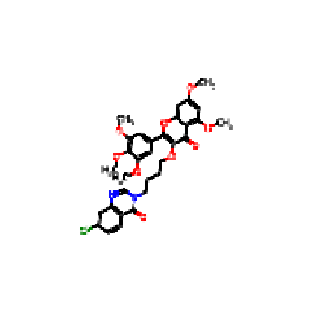 COc1cc(OC)c2c(=O)c(OCCCCn3cnc4cc(Cl)ccc4c3=O)c(-c3cc(OC)c(OC)c(OC)c3)oc2c1